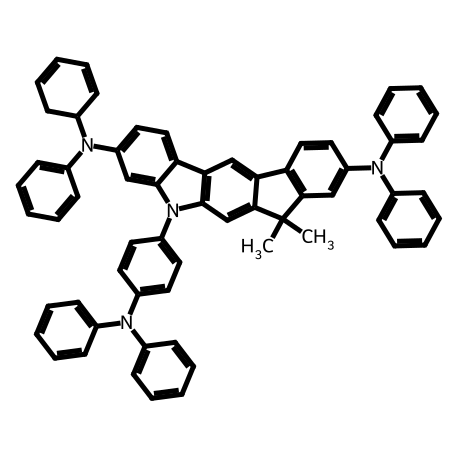 CC1(C)c2cc(N(c3ccccc3)c3ccccc3)ccc2-c2cc3c4ccc(N(c5ccccc5)C5C=CC=CC5)cc4n(-c4ccc(N(c5ccccc5)c5ccccc5)cc4)c3cc21